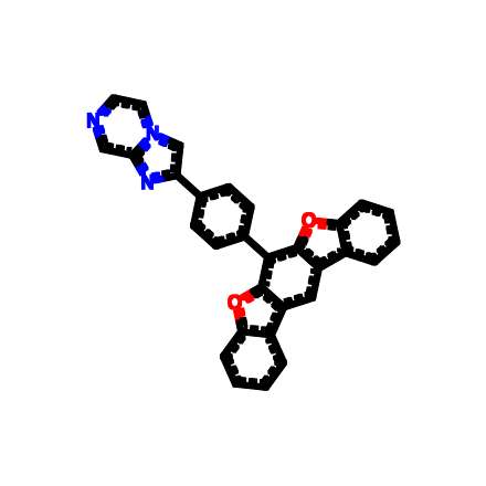 c1ccc2c(c1)oc1c(-c3ccc(-c4cn5ccncc5n4)cc3)c3oc4ccccc4c3cc12